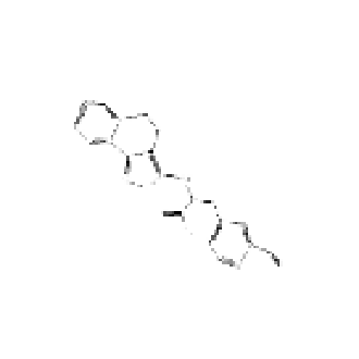 O=Cc1cccc(C[C@H](Nc2onc3c2CCc2ccccc2-3)C(=O)O)c1